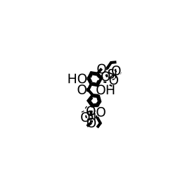 CCC(Oc1ccc(C(=O)c2ccc(OC(CC)[Si](OC)(OC)OC)cc2O)c(O)c1)[Si](OC)(OC)OC